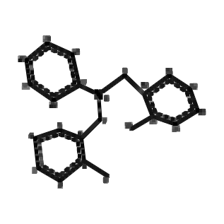 Cc1ccccc1CN(Cc1ccccc1C)c1ccccc1